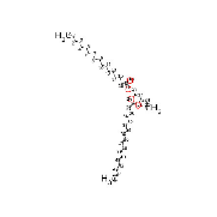 CCCCCCCCC=CCCCCCCCC(=O)OCC(CCCC)OC(=O)CCCCCCCC=CCCCCCCCC